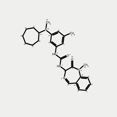 Cc1cc(NC(=O)NC2N=Cc3ccccc3N(C)C2=O)cc(N(C)C2CCCCCC2)c1